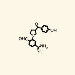 N=C(N)c1ccc(C=O)c(N2CCC(C(=O)c3ccc(O)cc3)C2)c1